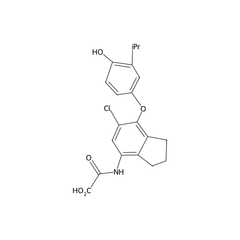 CC(C)c1cc(Oc2c(Cl)cc(NC(=O)C(=O)O)c3c2CCC3)ccc1O